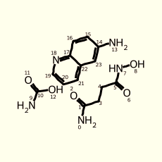 NC(=O)CCC(=O)NO.NC(=O)O.Nc1ccc2ncccc2c1